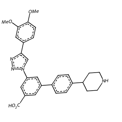 COc1ccc(-c2cn(-c3cc(C(=O)O)cc(-c4ccc(C5CCNCC5)cc4)c3)nn2)cc1OC